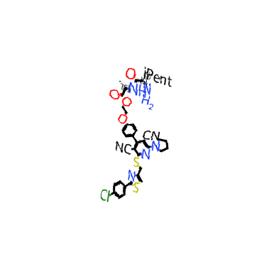 CCC[C@H](C)[C@H](N)C(=O)N[C@@H](C)C(=O)OCCOc1ccc(-c2c(C#N)c(SCc3csc(-c4ccc(Cl)cc4)n3)nc(N3CCCC3)c2C#N)cc1